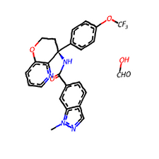 Cn1ncc2ccc(C(=O)N[C@]3(c4ccc(OC(F)(F)F)cc4)CCOc4cccnc43)cc21.O=CO